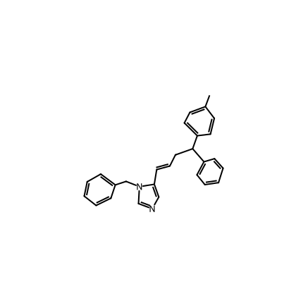 Cc1ccc(C(CC=Cc2cncn2Cc2ccccc2)c2ccccc2)cc1